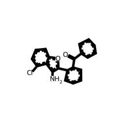 Nc1c(-c2ccccc2C(=O)c2ccccc2)oc2cccc(Cl)c12